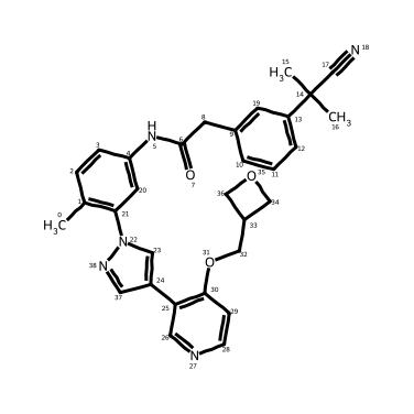 Cc1ccc(NC(=O)Cc2cccc(C(C)(C)C#N)c2)cc1-n1cc(-c2cnccc2OCC2COC2)cn1